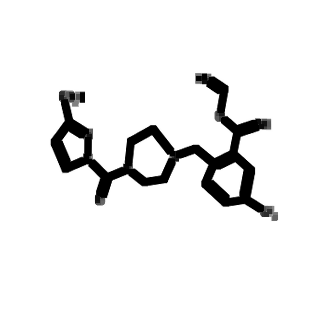 N=COC(=N)c1cc(C(F)(F)F)ccc1CN1CCN(C(=O)n2ccc(C(=O)O)n2)CC1